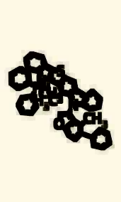 Cc1c(-c2ccccc2)ccc2occ(-n3c4ccccc4c4cc5sc6c7ccccc7n([PH](C)(c7ccccc7)c7ccccc7)c6c5c(C)c43)c12